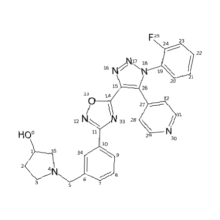 OC1CCN(Cc2cccc(-c3noc(-c4nnn(-c5ccccc5F)c4-c4ccncc4)n3)c2)C1